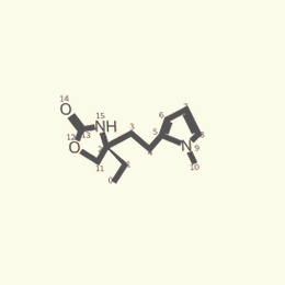 CC[C@@]1(CCc2cccn2C)COC(=O)N1